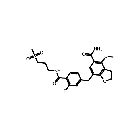 COc1c(C(N)=O)cc(Cc2ccc(C(=O)NCCCS(C)(=O)=O)c(F)c2)c2c1CCO2